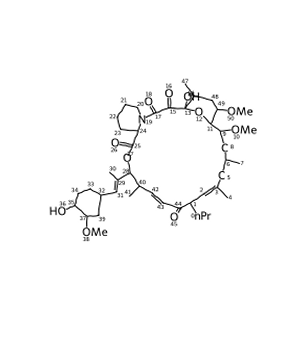 CCCC1/C=C(\C)CC(C)CC(OC)C2OC(O)(C(=O)C(=O)N3CCCCC3C(=O)OC(C(C)=CC3CCC(O)C(OC)C3)C(C)/C=C/C1=O)C(C)CC2OC